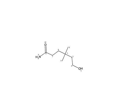 CC(C)(CCO)CCC(N)=O